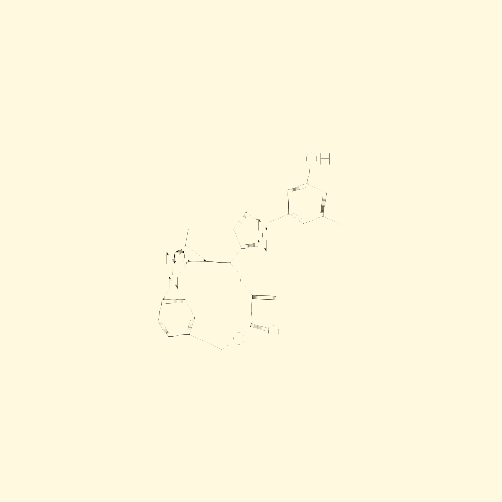 C=C1CC(c2ccn(-c3cc(C)cc(O)c3)n2)C2C(=O)N(N=C2C)c2ccc(cc2)COC1=O